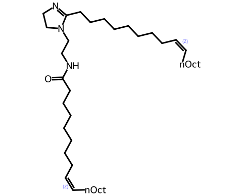 CCCCCCCC/C=C\CCCCCCCCC1=NCCN1CCNC(=O)CCCCCCC/C=C\CCCCCCCC